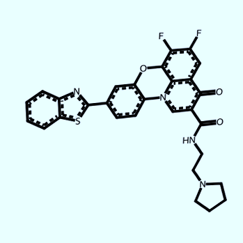 O=C(NCCN1CCCC1)c1cn2c3c(c(F)c(F)cc3c1=O)Oc1cc(-c3nc4ccccc4s3)ccc1-2